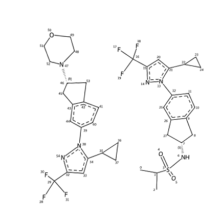 CC(C)S(=O)(=O)N[C@H]1Cc2ccc(-n3nc(C(F)(F)F)cc3C3CC3)cc2C1.FC(F)(F)c1cc(C2CC2)n(-c2ccc3c(c2)C[C@H](N2CCOCC2)C3)n1